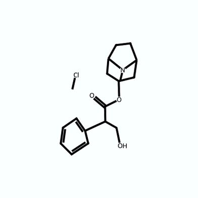 CCl.CN1C2CCC1CC(OC(=O)C(CO)c1ccccc1)C2